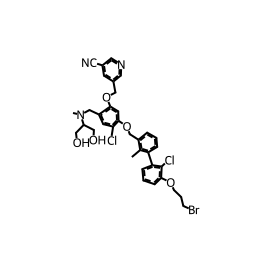 Cc1c(COc2cc(OCc3cncc(C#N)c3)c(CN(C)C(CO)CO)cc2Cl)cccc1-c1cccc(OCCCBr)c1Cl